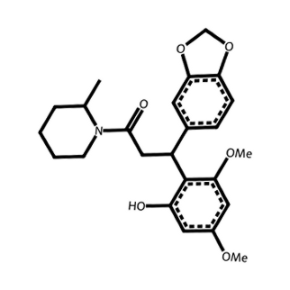 COc1cc(O)c(C(CC(=O)N2CCCCC2C)c2ccc3c(c2)OCO3)c(OC)c1